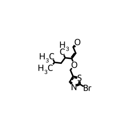 CC(C)CC(C)/C(=C\C=O)OCc1cnc(Br)s1